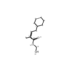 CC(=CCC1CCCCC1)C(=O)OCO